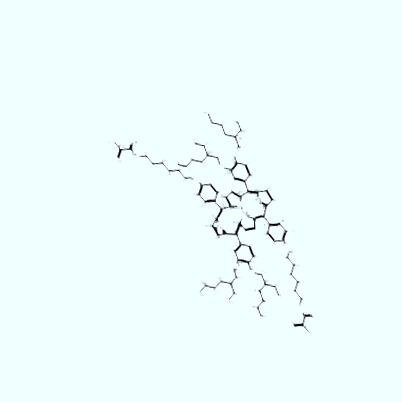 C=C(C)C(=O)OCCCCCCOc1ccc(-c2c3nc(c(-c4ccc(OCC(CC)CCCC)c(OCC(CC)CCCC)c4)c4ccc5c(-c6ccc(OCCCCCCOC(=O)C(=C)C)cc6)c6nc(c(-c7ccc(OCC(CC)CCCC)c(OCC(CC)CCCC)c7)c7ccc2n7n54)C=C6)C=C3)cc1